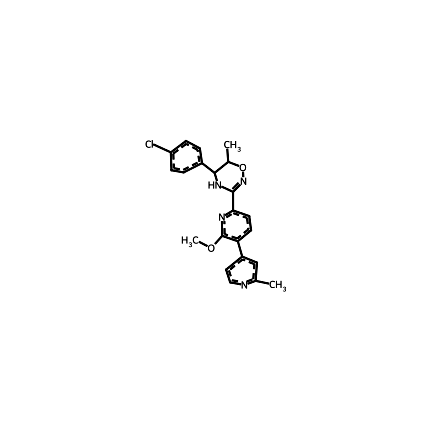 COc1nc(C2=NOC(C)C(c3ccc(Cl)cc3)N2)ccc1-c1ccnc(C)c1